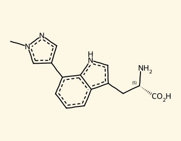 Cn1cc(-c2cccc3c(C[C@H](N)C(=O)O)c[nH]c23)cn1